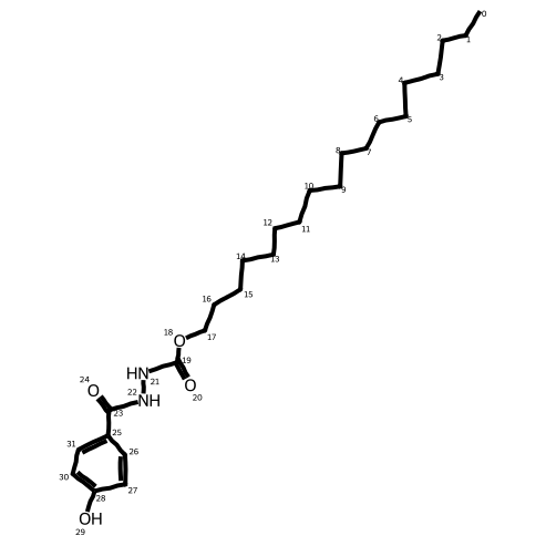 CCCCCCCCCCCCCCCCCCOC(=O)NNC(=O)c1ccc(O)cc1